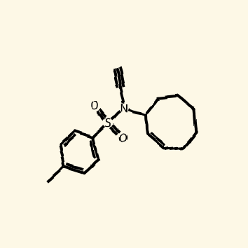 C#CN(C1/C=C\CCCCC1)S(=O)(=O)c1ccc(C)cc1